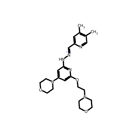 Cc1cnc(/C=N/Nc2cc(N3CCOCC3)cc(OCCN3CCOCC3)n2)cc1C